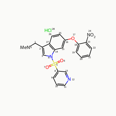 CNCc1cn(S(=O)(=O)c2cccnc2)c2cc(Oc3ccccc3[N+](=O)[O-])ccc12.Cl